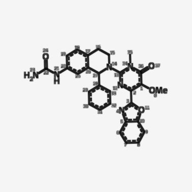 COc1c(-c2nc3ccccc3o2)nc(N2CCc3ccc(NC(N)=O)cc3C2c2ccccc2)n(C)c1=O